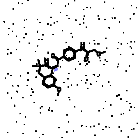 COCC(=O)Nc1ccc(C(=O)/C=C2\NC(C)(C)Cc3ccc(OC)cc32)cc1